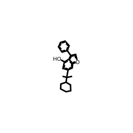 CC(C)(c1cc(O)c2c(-c3ccccc3)coc2c1)C1CCCCC1